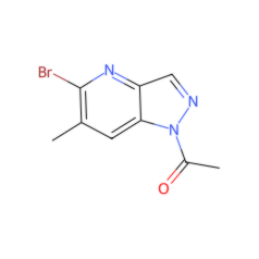 CC(=O)n1ncc2nc(Br)c(C)cc21